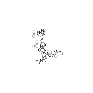 Cc1nc2nc(C(=O)O)cc(SCC3=C(C(=O)O)N4C(=O)C(NC(=O)C(=NOC(C)(C)C(=O)NN)c5csc(N)n5)[C@@H]4SC3)n2n1